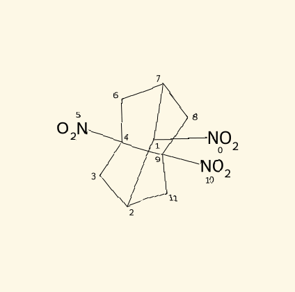 O=[N+]([O-])C1C2CC3([N+](=O)[O-])CC1CC3([N+](=O)[O-])C2